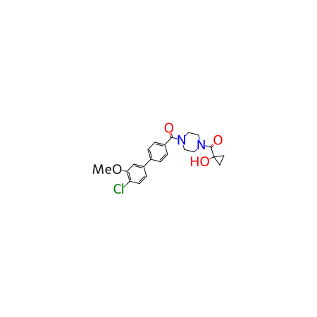 COc1cc(-c2ccc(C(=O)N3CCN(C(=O)C4(O)CC4)CC3)cc2)ccc1Cl